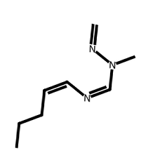 C=NN(C)/C=N\C=C/CCC